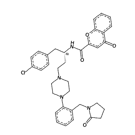 O=C(N[C@H](CCN1CCN(c2ccccc2CN2CCCC2=O)CC1)Cc1ccc(Cl)cc1)c1cc(=O)c2ccccc2o1